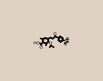 Cc1cc(/C=C/C(=O)c2ccc(S(C)(=O)=O)cc2)c(OC(C)C)c(C)c1C(=O)O